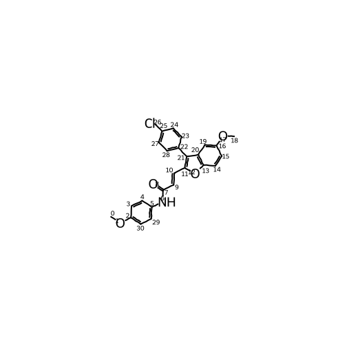 COc1ccc(NC(=O)C=Cc2oc3ccc(OC)cc3c2-c2ccc(Cl)cc2)cc1